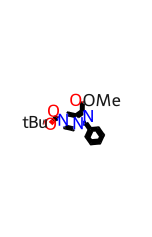 COC(=O)c1nc(-c2ccccc2)n2c1CN(C(=O)OC(C)(C)C)CC2